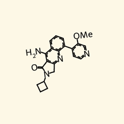 COc1cnccc1-c1cccc2c(N)c3c(nc12)CN(C1CCC1)C3=O